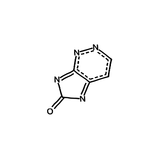 O=C1N=c2ccnnc2=N1